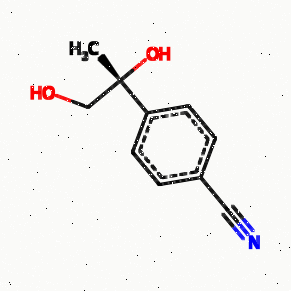 C[C@](O)(CO)c1ccc(C#N)cc1